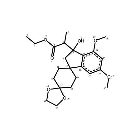 CCOC(=O)C(C)C1(O)CC2(CCC3(CC2)OCCO3)c2cc(OC)cc(OC)c21